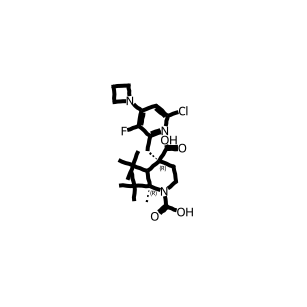 CC(C)(C)C1[C@@](Cc2nc(Cl)cc(N3CCC3)c2F)(C(=O)O)CCN(C(=O)O)[C@@]1(C)C(C)(C)C